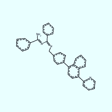 N/C(=N\C(=N/Cc1ccc(-c2ccc(-c3ccccn3)c3ccccc23)cc1)c1ccccc1)c1ccccc1